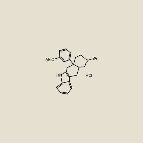 CCCN1CCC2(c3cccc(OC)c3)Cc3[nH]c4ccccc4c3CC2C1.Cl